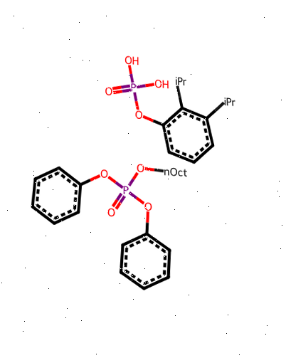 CC(C)c1cccc(OP(=O)(O)O)c1C(C)C.CCCCCCCCOP(=O)(Oc1ccccc1)Oc1ccccc1